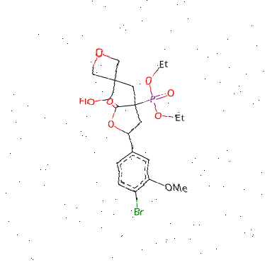 CCOP(=O)(OCC)C1(CC2(CO)COC2)CC(c2ccc(Br)c(OC)c2)OC1=O